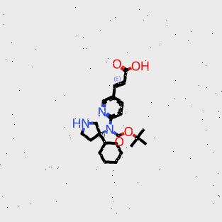 CC(C)(C)OC(=O)N(c1ccc(/C=C/C(=O)O)cn1)[C@@]1(C2CCCCC2)CCNC1